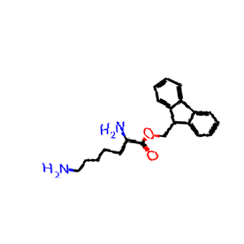 NCCCCCC(N)C(=O)OCC1c2ccccc2-c2ccccc21